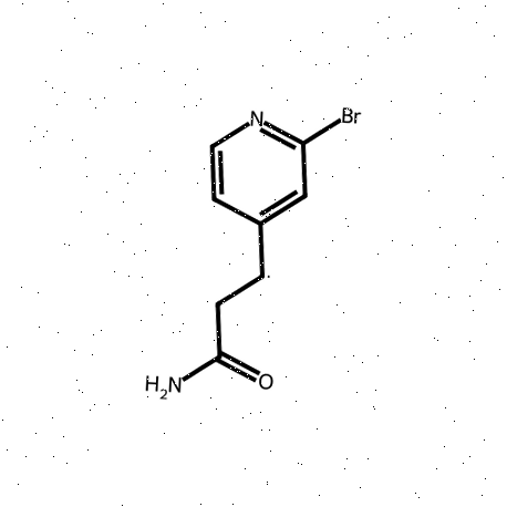 NC(=O)C[CH]c1ccnc(Br)c1